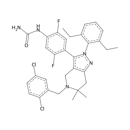 CCc1cccc(CC)c1-n1nc2c(c1-c1cc(F)c(NC(N)=O)cc1F)CN(Cc1cc(Cl)ccc1Cl)C(C)(C)C2